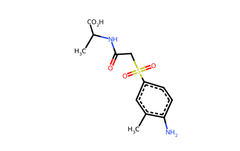 Cc1cc(S(=O)(=O)CC(=O)NC(C)C(=O)O)ccc1N